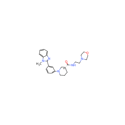 Cn1c(-c2cccc(N3CCC[C@@H](C(=O)NCCN4CCOCC4)C3)c2)nc2ccccc21